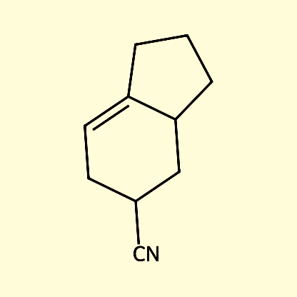 N#CC1CC=C2CCCC2C1